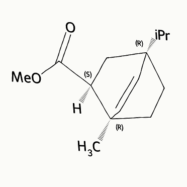 COC(=O)[C@H]1C[C@]2(C(C)C)C=C[C@@]1(C)CC2